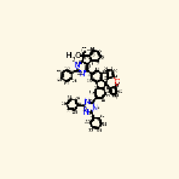 CC1(C)c2ccccc2-c2c(-c3ccc4c(c3)-c3cc(-c5nc(-c6ccccc6)nc(-c6ccccc6)n5)ccc3C43c4ccccc4Oc4ccccc43)nc(-c3ccccc3)nc21